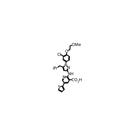 COCCOc1ccc(-n2nc(Nc3ncc(-c4cccs4)cc3C(=O)O)cc2CC(C)C)cc1Cl